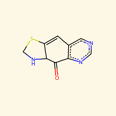 O=C1c2ncncc2C=C2SCNC12